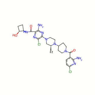 CC[C@H]1CN(c2nc(N)c(C(=O)N[C@@H]3CC[C@@H]3O)nc2Cl)CCN1C1CCN(C(=O)c2ccc(Cl)nc2N)CC1